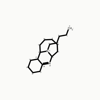 [CH2]CCCCN1C2CCCCCC1C1CCCCC1=N2